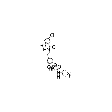 COc1ccc(Cl)cc1C(=O)NCCc1ccc(S(=O)(=O)NC(=O)NC2CCC(C)(F)CC2)cc1